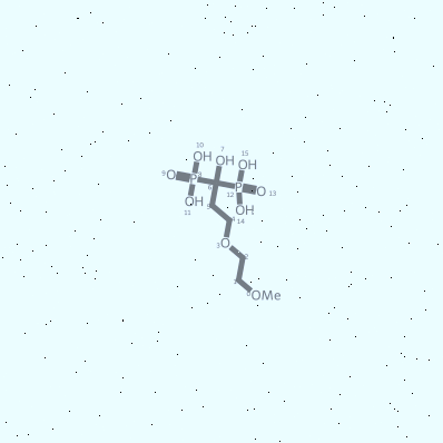 COCCOCCC(O)(P(=O)(O)O)P(=O)(O)O